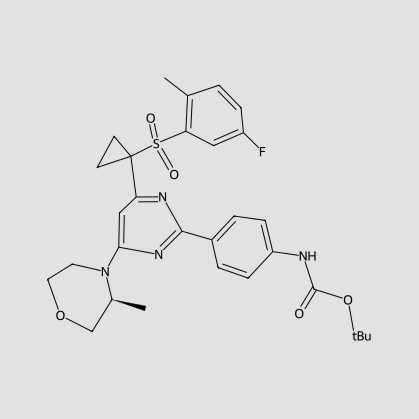 Cc1ccc(F)cc1S(=O)(=O)C1(c2cc(N3CCOC[C@@H]3C)nc(-c3ccc(NC(=O)OC(C)(C)C)cc3)n2)CC1